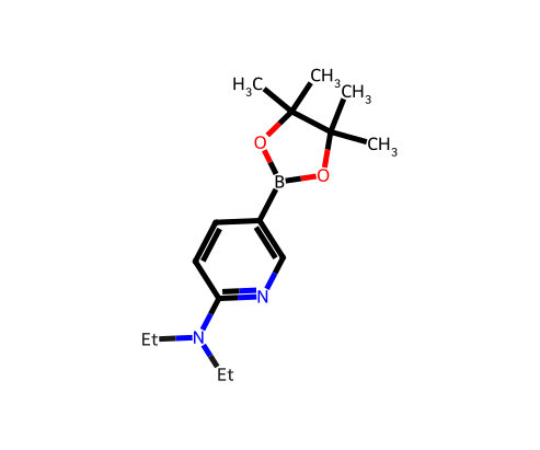 CCN(CC)c1ccc(B2OC(C)(C)C(C)(C)O2)cn1